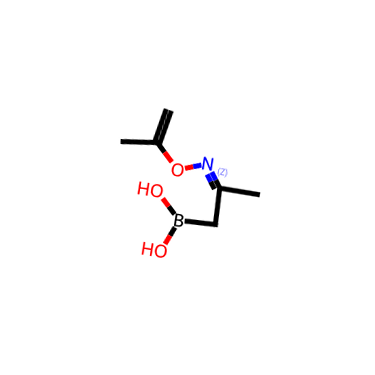 C=C(C)O/N=C(/C)CB(O)O